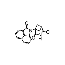 O=C1NC(=O)C2(N3C(=O)c4cccc5cccc3c45)CC1C2